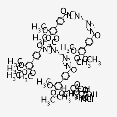 COc1cc(-c2ccc(C(=O)N3CCN(CCCN4CCN(C(=O)c5ccc(-c6cc(OC)c(OC(C)C)c(OC)c6)cc5)CC4)CC3)cc2)cc(OC)c1OC(C)C.COc1cc(-c2ccc(C(=O)N3CCN(CCCN4CCN(C(=O)c5ccc(-c6cc(OC)c(OC)c(OC)c6)cc5)CC4)CC3)cc2)cc(OC)c1OC.CS(=O)(=O)O.CS(=O)(=O)O.Cl.Cl